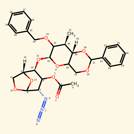 CC(=O)OC1[C@H](N=[N+]=[N-])C2OC[C@@H](O2)[C@H]1O[C@@H]1OC2COC(c3ccccc3)O[C@H]2[C@H](C)C1OCc1ccccc1